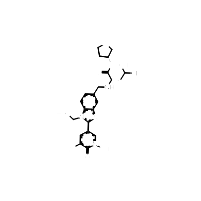 CCn1c(-c2cc(C)c(=O)n(C)c2)nc2cc(CN[C@@H](CC(C)C)C(=O)O[C@H]3CCOC3)ccc21